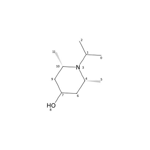 CC(C)N1[C@H](C)CC(O)C[C@@H]1C